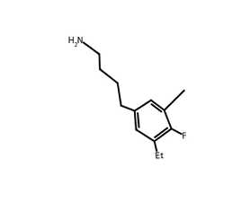 CCc1cc(CCCCN)cc(C)c1F